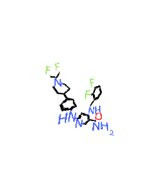 NC(=O)c1cnc(Nc2ccc(C3CCN(C(CF)CF)CC3)cc2)cc1NCc1cccc(F)c1F